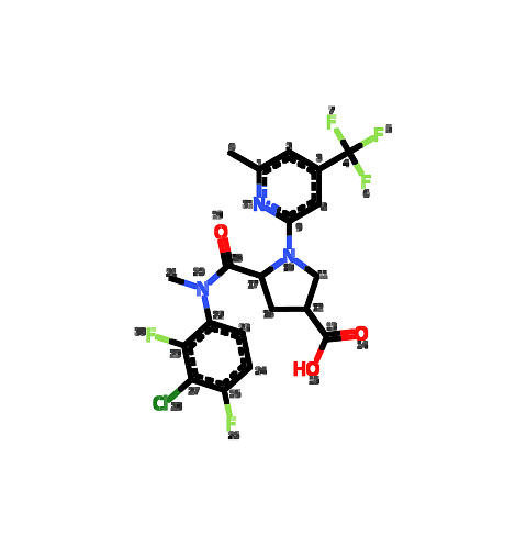 Cc1cc(C(F)(F)F)cc(N2CC(C(=O)O)CC2C(=O)N(C)c2ccc(F)c(Cl)c2F)n1